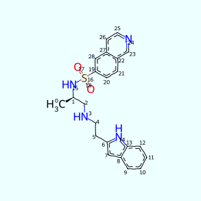 C[C@H](CNCCc1cc2ccccc2[nH]1)NS(=O)(=O)c1ccc2cnccc2c1